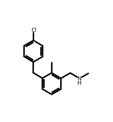 CNCc1cccc(Cc2ccc(Cl)cc2)c1C